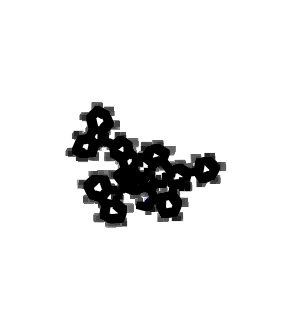 C/C=C\c1c(C)n(-c2c(-c3cc(-c4ccccc4)nc(-c4ccccc4)n3)cccc2-n2c3ccccc3c3cc(-n4c5ccccc5c5ccccc54)ccc32)c2ccc(-n3c4ccccc4c4ccccc43)cc12